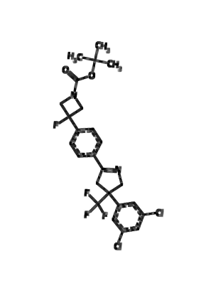 CC(C)(C)OC(=O)N1CC(F)(c2ccc(C3=NCC(c4cc(Cl)cc(Cl)c4)(C(F)(F)F)C3)cc2)C1